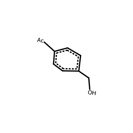 CC(=O)c1ccc(CO)cc1